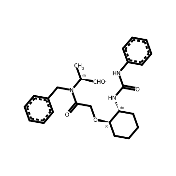 C[C@@H]([C]=O)N(Cc1ccccc1)C(=O)CO[C@@H]1CCCC[C@H]1NC(=O)Nc1ccccc1